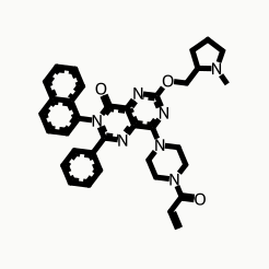 C=CC(=O)N1CCN(c2nc(OCC3CCCN3C)nc3c(=O)n(-c4cccc5ccccc45)c(-c4ccccc4)nc23)CC1